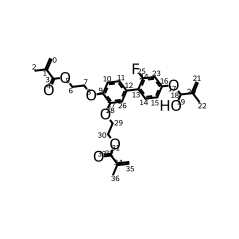 C=C(C)C(=O)OCCOc1ccc(-c2ccc(OC(O)C(=C)C)cc2F)cc1OCCOC(=O)C(=C)C